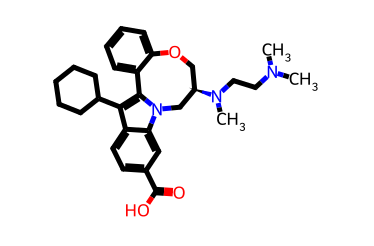 CN(C)CCN(C)[C@@H]1COc2ccccc2-c2c(C3CCCCC3)c3ccc(C(=O)O)cc3n2C1